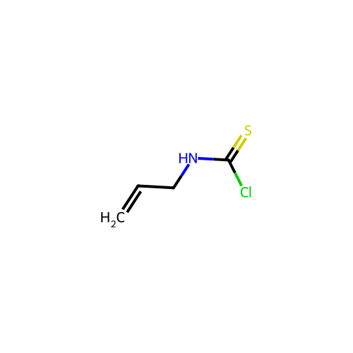 C=CCNC(=S)Cl